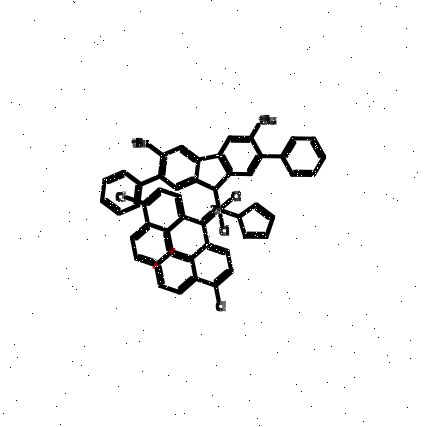 CC(C)(C)c1cc2c(cc1-c1ccccc1)[CH]([Zr]([Cl])([Cl])(=[C](c1ccc(Cl)c3ccccc13)c1ccc(Cl)c3ccccc13)[CH]1C=CC=C1)c1cc(-c3ccccc3)c(C(C)(C)C)cc1-2